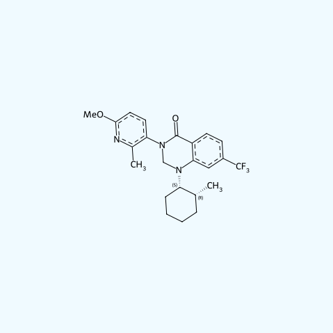 COc1ccc(N2CN([C@H]3CCCC[C@H]3C)c3cc(C(F)(F)F)ccc3C2=O)c(C)n1